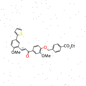 CCOC(=O)c1ccc(COc2ccc(C(=O)/C=C/c3cc(-c4cccs4)ccc3OC)cc2OC)cc1